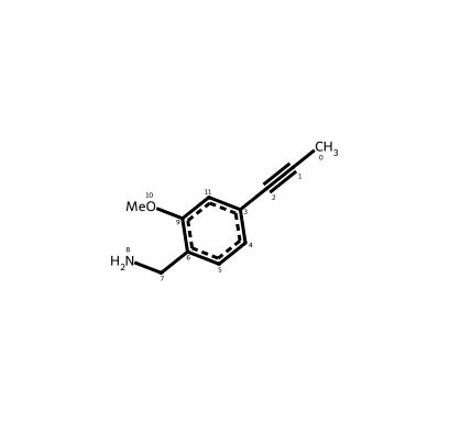 CC#Cc1ccc(CN)c(OC)c1